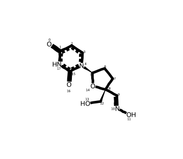 O=c1ccn([C@H]2CC[C@@](C=NO)(CO)O2)c(=O)[nH]1